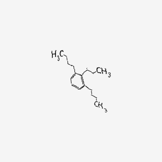 CC[CH]c1c(CCCC)cccc1CCCC